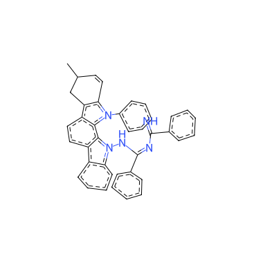 CC1C=Cc2c(c3ccc4c5ccccc5n(N/C(=N\C(=N)c5ccccc5)c5ccccc5)c4c3n2-c2ccccc2)C1